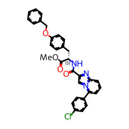 COC(=O)[C@H](Cc1ccc(OCc2ccccc2)cc1)NC(=O)c1cn2c(-c3ccc(Cl)cc3)cccc2n1